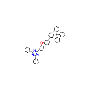 c1ccc(-c2nc(-c3ccccc3)nc(-c3ccc4c(c3)oc3cc(-c5ccc6c(c5)C(c5ccccc5)(c5ccccc5)c5ccccc5-6)ccc34)n2)cc1